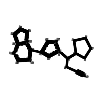 N#CCC(C1CCCC1)n1cc(-c2ncnc3cccn23)cn1